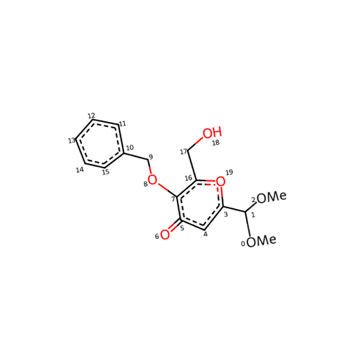 COC(OC)c1cc(=O)c(OCc2ccccc2)c(CO)o1